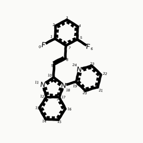 Fc1cccc(F)c1C=Cc1nc2ccccc2n1-c1ccccn1